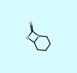 O=C1OC2C[CH]CCN12